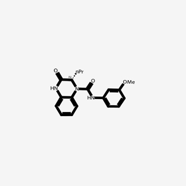 CCC[C@H]1C(=O)Nc2ccccc2N1C(=O)Nc1cccc(OC)c1